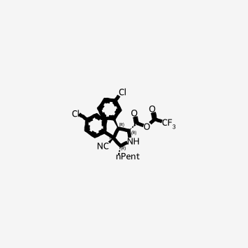 CCCCC[C@H]1N[C@@H](C(=O)OC(=O)C(F)(F)F)[C@H](c2cccc(Cl)c2)[C@@]1(C#N)c1ccc(Cl)cc1